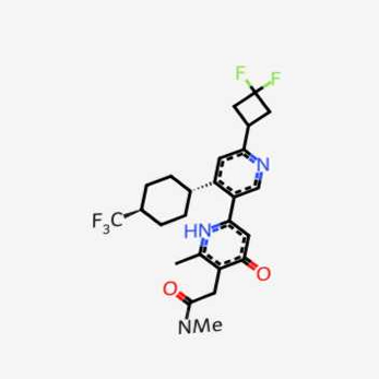 CNC(=O)Cc1c(C)[nH]c(-c2cnc(C3CC(F)(F)C3)cc2[C@H]2CC[C@H](C(F)(F)F)CC2)cc1=O